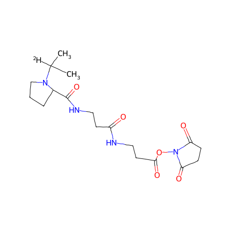 [2H]C(C)(C)N1CCCC1C(=O)NCCC(=O)NCCC(=O)ON1C(=O)CCC1=O